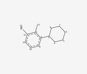 Cc1c(C2CCCCC2)[c]ccc1F